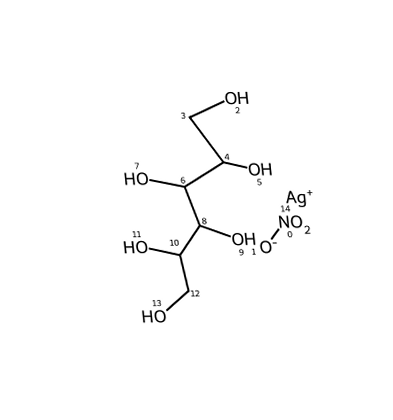 O=[N+]([O-])[O-].OCC(O)C(O)C(O)C(O)CO.[Ag+]